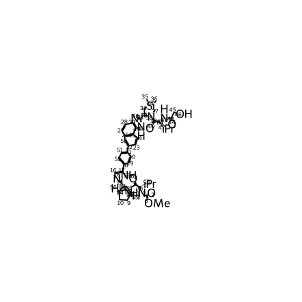 COC(=O)N[C@H](C(=O)N1[C@@H]2CC[C@@H](C2)[C@H]1c1ncc(-c2ccc(-c3ccc4c(ccc5nc([C@@H]6C[Si](C)(C)CN6C(=O)[C@@H](NC(=O)CO)C(C)C)[nH]c54)c3)cc2)[nH]1)C(C)C